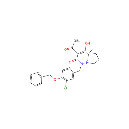 CC(C)COC(=O)C1=C(O)C2(C)CCCN2N(Cc2ccc(OCc3ccccc3)c(Cl)c2)C1=O